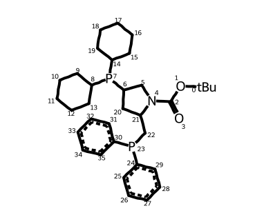 CC(C)(C)OC(=O)N1CC(P(C2CCCCC2)C2CCCCC2)CC1CP(c1ccccc1)c1ccccc1